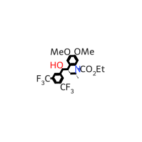 CCOC(=O)N1c2cc(OC)c(OC)cc2[C@@H]([C@@H](O)c2cc(C(F)(F)F)cc(C(F)(F)F)c2)C[C@H]1C